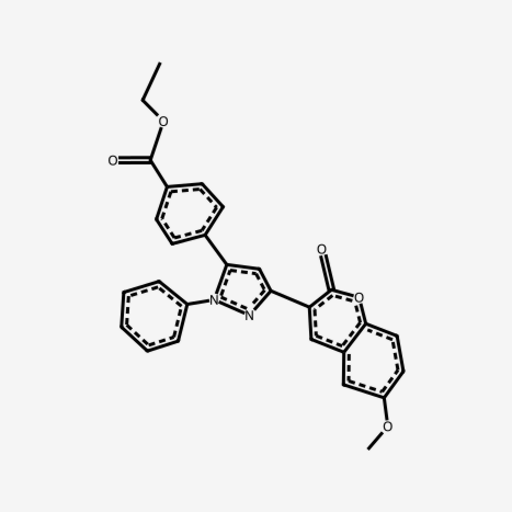 CCOC(=O)c1ccc(-c2cc(-c3cc4cc(OC)ccc4oc3=O)nn2-c2ccccc2)cc1